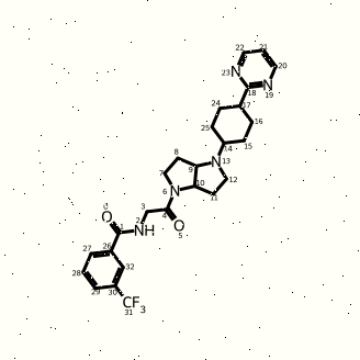 O=C(NCC(=O)N1CCC2C1CCN2C1CCC(c2ncccn2)CC1)c1cccc(C(F)(F)F)c1